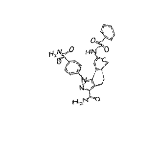 NC(=O)c1nn(-c2ccc(S(N)(=O)=O)cc2)c2c1CCc1ccc(NS(=O)(=O)c3ccccc3)cc1-2